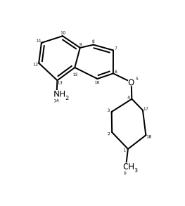 CC1CCC(Oc2ccc3cccc(N)c3c2)CC1